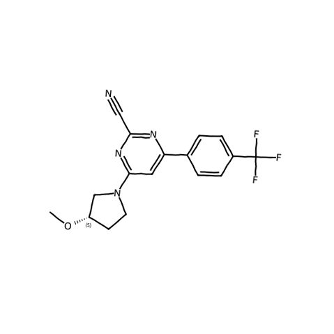 CO[C@H]1CCN(c2cc(-c3ccc(C(F)(F)F)cc3)nc(C#N)n2)C1